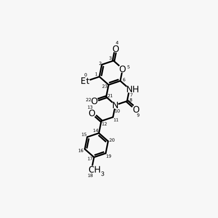 CCc1cc(=O)oc2[nH]c(=O)n(CC(=O)c3ccc(C)cc3)c(=O)c12